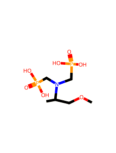 COCC(C)N(CP(=O)(O)O)CP(=O)(O)O